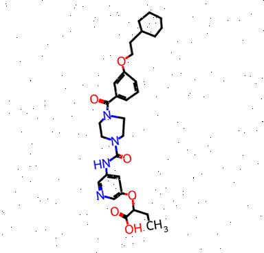 CCC(Oc1cncc(NC(=O)N2CCN(C(=O)c3cccc(OCCC4CCCCC4)c3)CC2)c1)C(=O)O